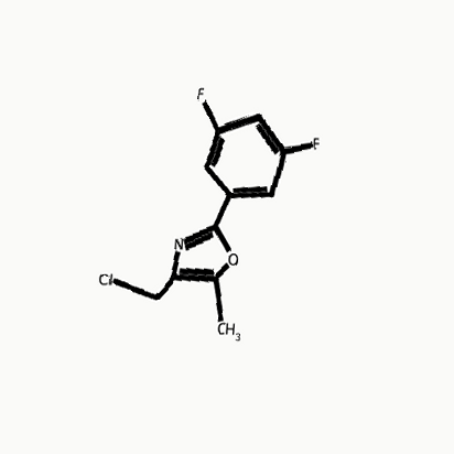 Cc1oc(-c2cc(F)cc(F)c2)nc1CCl